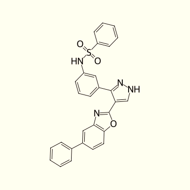 O=S(=O)(Nc1cccc(-c2n[nH]cc2-c2nc3cc(-c4ccccc4)ccc3o2)c1)c1ccccc1